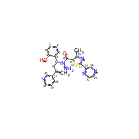 C=C(CC(c1ccccc1O)N(N)C(=O)c1sc(-c2cnccn2)nc1C)c1cccnc1